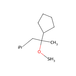 CC(C)CC(C)(O[SiH3])C1CCCC1